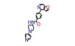 O=C(NC1CCN(c2ccncc2)CC1)c1ccc(-c2nccc3occc23)cc1